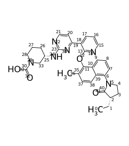 CC[C@H]1CCN(c2cccc3c(Oc4ncccc4-c4ccnc(N[C@H]5CCCN(C(=O)O)C5)n4)c(C)ccc23)C1=O